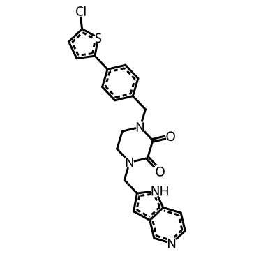 O=C1C(=O)N(Cc2cc3cnccc3[nH]2)CCN1Cc1ccc(-c2ccc(Cl)s2)cc1